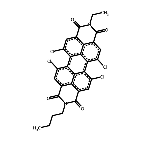 CCCCN1C(=O)c2cc(Cl)c3c4c(Cl)cc5c6c(cc(Cl)c(c7c(Cl)cc(c2c37)C1=O)c64)C(=O)N(CC)C5=O